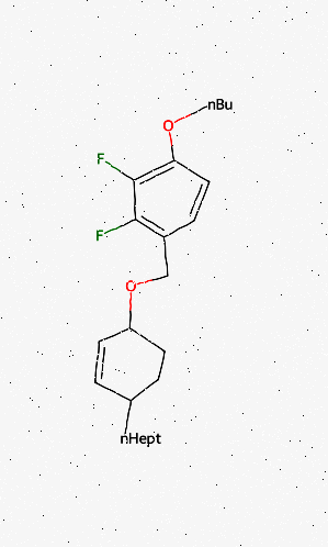 CCCCCCCC1C=CC(OCc2ccc(OCCCC)c(F)c2F)CC1